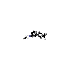 CCO/C=C/c1ccnc(N2CCN(C(C)=O)CC2)n1